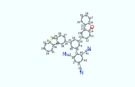 N#Cc1cc(C#N)c(-c2cc(-c3ccc4oc5ccccc5c4c3)cc(-c3ccc4sc5ccccc5c4c3)c2)c(C#N)c1